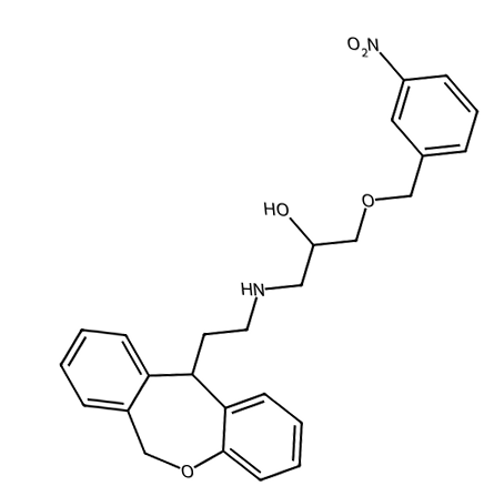 O=[N+]([O-])c1cccc(COCC(O)CNCCC2c3ccccc3COc3ccccc32)c1